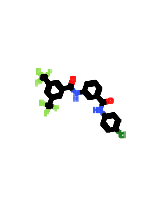 O=C(Nc1ccc(Cl)cc1)c1cccc(NC(=O)c2cc(C(F)(F)F)cc(C(F)(F)F)c2)c1